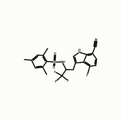 Cc1cc(C)c(S(=O)(=O)NC(Cc2c[nH]c3c(C#N)ccc(F)c23)C(F)(F)F)c(C)c1